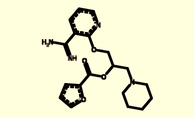 N=C(N)c1cccnc1OCC(CN1CCCCC1)OC(=O)c1ccco1